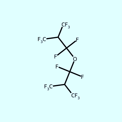 FC(F)(F)C(C(F)(F)F)C(F)(F)OC(F)(F)C(C(F)(F)F)C(F)(F)F